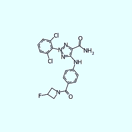 NC(=O)c1nn(-c2c(Cl)cccc2Cl)nc1Nc1ccc(C(=O)N2CC(F)C2)cc1